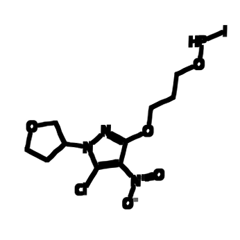 O=[N+]([O-])c1c(OCCCOPI)nn(C2CCOC2)c1Cl